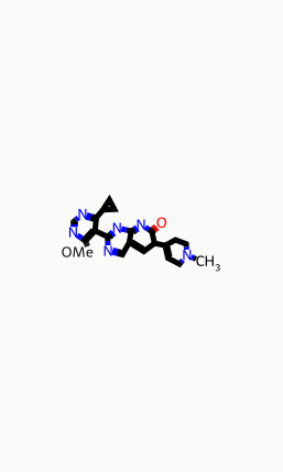 COc1ncnc(C2CC2)c1-c1ncc2c(n1)=NC(=O)C(C1=CCN(C)CC1)C=2